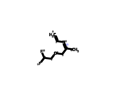 C=C/N=C(/C)COCC(F)F